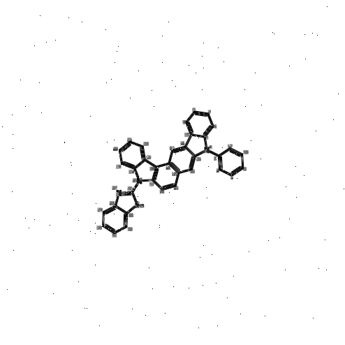 c1ccc(-n2c3ccccc3c3cc4c(ccc5c4c4ccccc4n5-c4nc5ccccc5s4)cc32)cc1